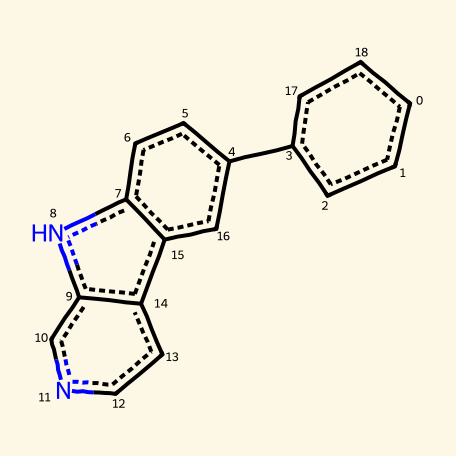 c1ccc(-c2ccc3[nH]c4cnccc4c3c2)cc1